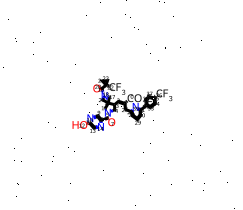 CCOC(=O)C(=CC1CN(C(=O)c2cnc(O)cn2)CC12CN(C(=O)C1(C(F)(F)F)CC1)C2)Cc1cccc(-c2ccc(C(F)(F)F)cc2)n1